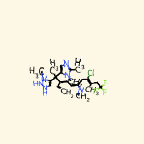 C=C/C(=C\C=C(/C/C(Cl)=C(\C)CC(F)(F)F)N=C)C(C)(C1=CNNN1C)c1cnc(C)n1C